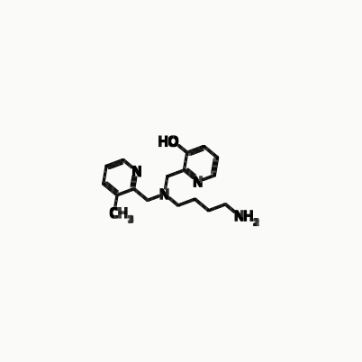 Cc1cccnc1CN(CCCCN)Cc1ncccc1O